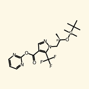 C[C@H](Cn1ncc(C(=O)Oc2ncccn2)c1C(F)(F)F)O[Si](C)(C)C(C)(C)C